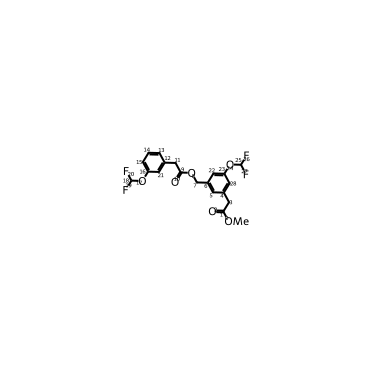 COC(=O)Cc1cc(COC(=O)Cc2cccc(OC(F)F)c2)cc(OC(F)F)c1